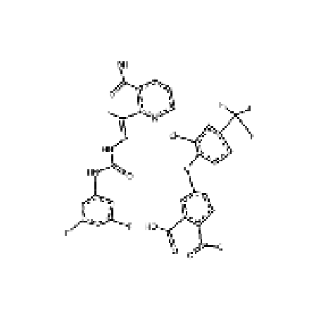 C/C(=N\NC(=O)Nc1cc(F)cc(F)c1)c1ncccc1C(=O)O.O=C(O)c1cc(Oc2ccc(C(F)(F)F)cc2Cl)ccc1[N+](=O)[O-]